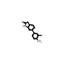 Cc1ccc(-c2ccc3c(c2)NC(=O)C3)cc1F